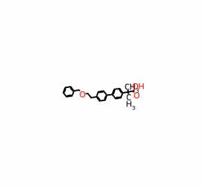 CC(C)(C(=O)O)c1ccc(-c2ccc(CCOCc3ccccc3)cc2)cc1